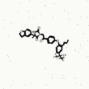 CCCc1cc(C(O)(C(F)(F)F)C(F)(F)F)ccc1Oc1ccc(C(=O)CN2C(=O)NC(C)(c3ccc4c(c3)CCO4)C2=O)cc1